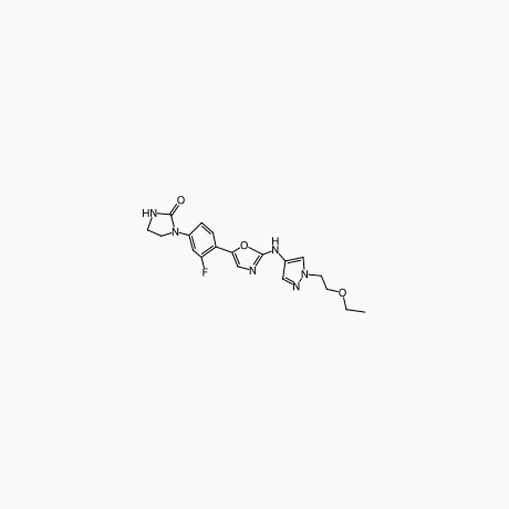 CCOCCn1cc(Nc2ncc(-c3ccc(N4CCNC4=O)cc3F)o2)cn1